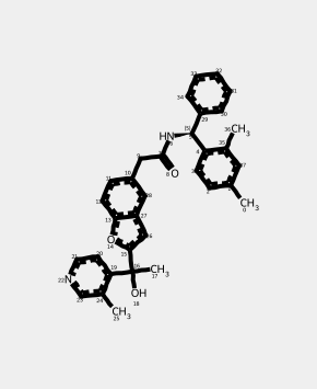 Cc1ccc([C@@H](NC(=O)Cc2ccc3oc(C(C)(O)c4ccncc4C)cc3c2)c2ccccc2)c(C)c1